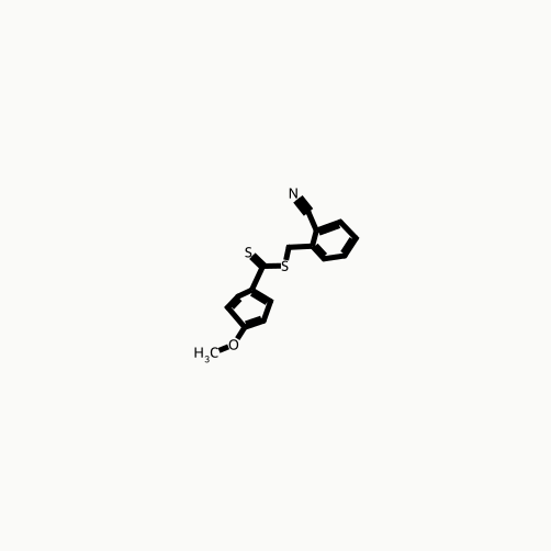 COc1ccc(C(=S)SCc2ccccc2C#N)cc1